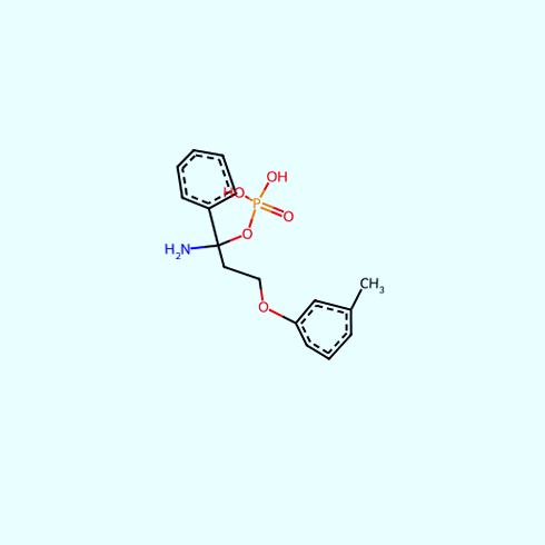 Cc1cccc(OCCC(N)(OP(=O)(O)O)c2ccccc2)c1